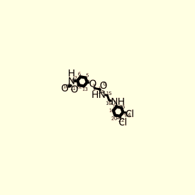 O=C(COc1ccc2[nH]c(=O)oc2c1)NCCNc1ccc(Cl)c(Cl)c1